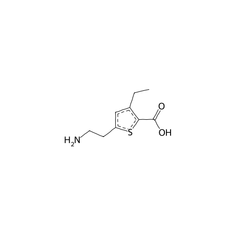 CCc1cc(CCN)sc1C(=O)O